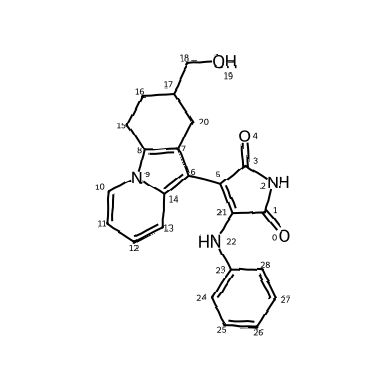 O=C1NC(=O)C(c2c3c(n4ccccc24)CCC(CO)C3)=C1Nc1ccccc1